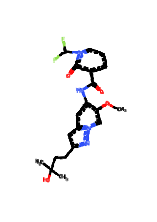 COc1cn2nc(CCC(C)(C)O)cc2cc1NC(=O)c1cccn(C(F)F)c1=O